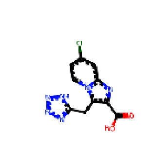 O=C(O)c1nc2cc(Cl)ccn2c1Cc1nnn[nH]1